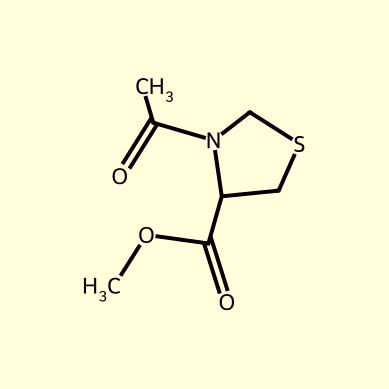 COC(=O)C1CSCN1C(C)=O